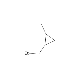 C[CH]C[C]1CC1C